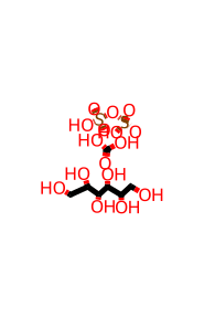 O=C(O)O.O=S(=O)(O)OS(=O)(=O)O.OCC(O)C(O)C(O)C(O)CO